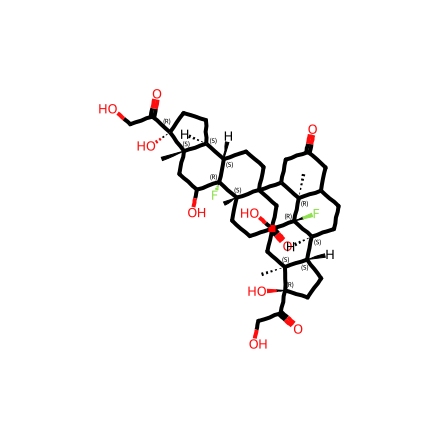 C[C@]12C(CC[C@H]3[C@@H]4CC[C@](O)(C(=O)CO)[C@@]4(C)CC(O)[C@@]31F)CC(=O)CC2C12CC[C@H]3[C@@H]4CC[C@](O)(C(=O)CO)[C@@]4(C)CC(O)[C@]3(F)[C@@]1(C)CCC(=O)C2